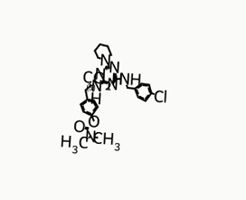 CN(C)C(=O)Oc1ccc(C[C@H](Nc2nc(NCc3ccc(Cl)cc3)nc(N3CCCCC3)n2)C(=O)O)cc1